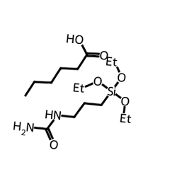 CCCCCC(=O)O.CCO[Si](CCCNC(N)=O)(OCC)OCC